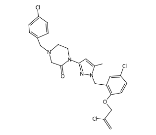 C=C(Cl)COc1ccc(Cl)cc1Cn1nc(N2CCN(Cc3ccc(Cl)cc3)CC2=O)cc1C